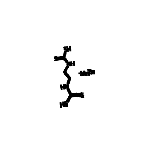 S=C(S)NCCNC(=S)S.[Mn].[Zn]